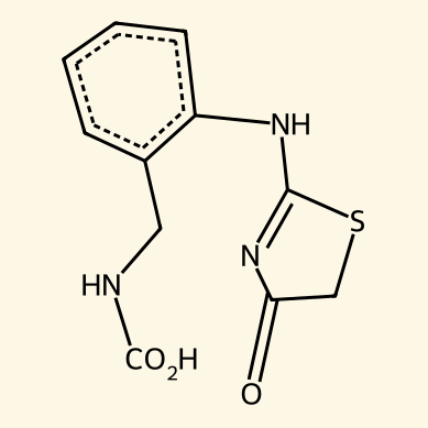 O=C1CSC(Nc2ccccc2CNC(=O)O)=N1